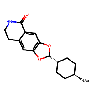 CN[C@H]1CC[C@H](C2Oc3cc4c(cc3O2)C(=O)NCC4)CC1